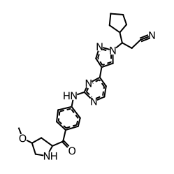 COC1CNC(C(=O)c2ccc(Nc3nccc(-c4cnn(C(CC#N)C5CCCC5)c4)n3)cc2)C1